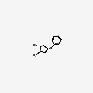 CN1C[C@@H](Oc2ccccc2)C[C@H]1C=O